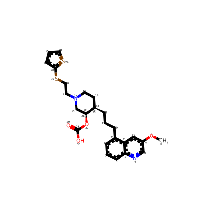 COc1cnc2cccc(CCC[C@@H]3CCN(CCSc4cccs4)C[C@@H]3OC(=O)O)c2c1